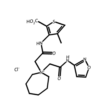 Cc1csc(C(=O)O)c1NC(=O)C[N+]1(CC(=O)Nc2ccon2)CCCCCC1.[Cl-]